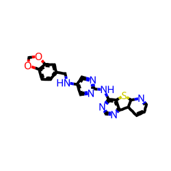 C1=CC2c3ncnc(Nc4ncc(NCc5ccc6c(c5)OCO6)cn4)c3SC2N=C1